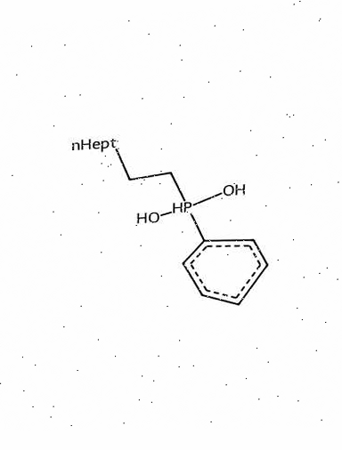 CCCCCCCCC[PH](O)(O)c1ccccc1